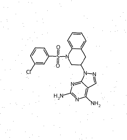 Nc1nc(N)c2cnn(C3Cc4ccccc4N(S(=O)(=O)c4cccc(Cl)c4)C3)c2n1